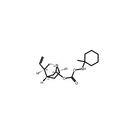 C=C[C@H]1C[N@]2CC[C@H]1C[C@@H]2OC(=O)ONC1(C)CCCCC1